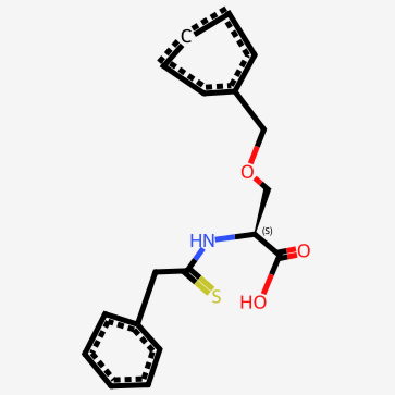 O=C(O)[C@H](COCc1ccccc1)NC(=S)Cc1ccccc1